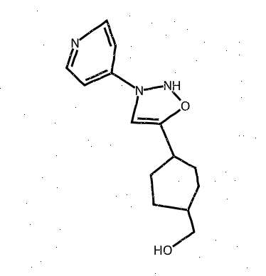 OCC1CCC(C2=CN(c3ccncc3)NO2)CC1